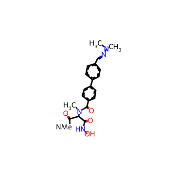 CNC(=O)C(C(=O)NO)N(C)C(=O)c1ccc(-c2ccc(C=NN(C)C)cc2)cc1